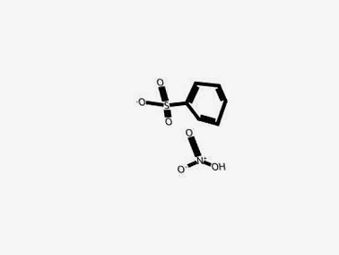 O=[N+]([O-])O.[O]S(=O)(=O)c1ccccc1